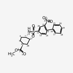 COC(=O)[C@H]1CC[C@H](NS(=O)(=O)c2ccc(-c3ccccc3)c([N+](=O)[O-])c2)CC1